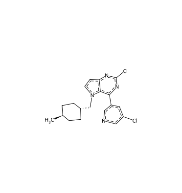 C[C@H]1CC[C@H](Cn2ccc3nc(Cl)nc(-c4cncc(Cl)c4)c32)CC1